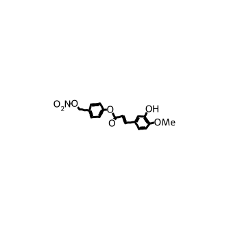 COc1ccc(/C=C/C(=O)Oc2ccc(CO[N+](=O)[O-])cc2)cc1O